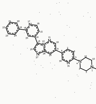 CN1CCN(c2ccc(-c3cnn4c(-c5ccnc(-c6ccccc6)c5)cnc4c3)cn2)CC1